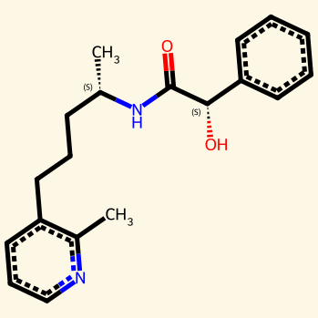 Cc1ncccc1CCC[C@H](C)NC(=O)[C@@H](O)c1ccccc1